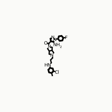 Cc1ccc(NCCCN2CC3CN(C(=O)c4cnn(-c5ccc(F)cc5)c4N)CC3C2)cc1Cl